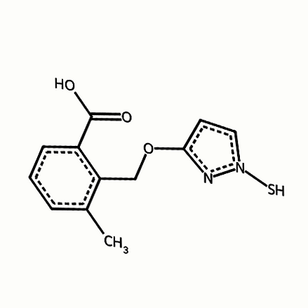 Cc1cccc(C(=O)O)c1COc1ccn(S)n1